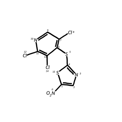 O=[N+]([O-])c1cnc(Sc2c(Cl)cnc(Cl)c2Cl)s1